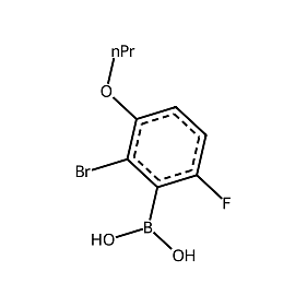 CCCOc1ccc(F)c(B(O)O)c1Br